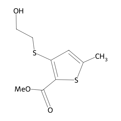 COC(=O)c1sc(C)cc1SCCO